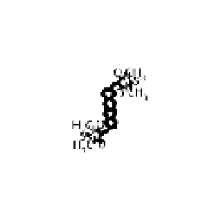 CN1C(=O)C(=Cc2ccc3cc4cc5cc(C=C6C(=O)N(C)C(=S)N(C)C6=O)ccc5cc4cc3c2)C(=O)N(C)C1=S